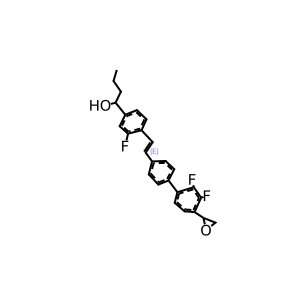 CCCC(O)c1ccc(/C=C/c2ccc(-c3ccc(C4CO4)c(F)c3F)cc2)c(F)c1